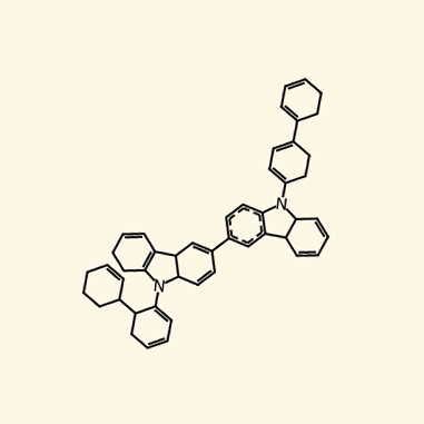 C1=CCCC(C2=CC=C(N3c4ccc(C5=CC6C7=C(CCC=C7)N(C7=CC=CCC7C7C=CCCC7)C6C=C5)cc4C4C=CC=CC43)CC2)=C1